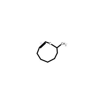 [CH2]C1C/C=C\CCCCC1